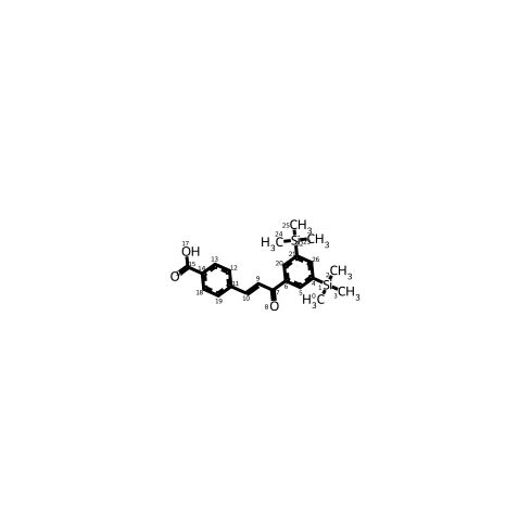 C[Si](C)(C)c1cc(C(=O)/C=C/c2ccc(C(=O)O)cc2)cc([Si](C)(C)C)c1